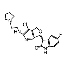 O=C1Nc2ccc(F)cc2C1=C1OCc2c1cnc(NCCN1CCCC1)c2Cl